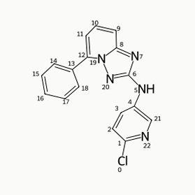 Clc1ccc(Nc2nc3cccc(-c4ccccc4)n3n2)cn1